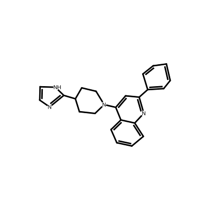 c1ccc(-c2cc(N3CCC(c4ncc[nH]4)CC3)c3ccccc3n2)cc1